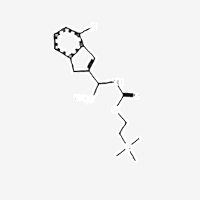 CCOC(=O)C(NC(=O)OCC[Si](C)(C)C)C1=Cc2c(Cl)cccc2C1